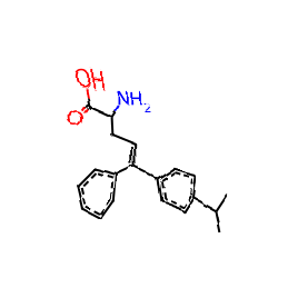 CC(C)c1ccc(C(=CCC(N)C(=O)O)c2ccccc2)cc1